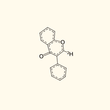 [2H]c1oc2ccccc2c(=O)c1-c1ccccc1